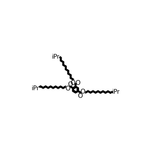 CC(C)CCCCCCCCCCCOC(=O)c1ccc(C(=O)OCCCCCCCCCCCC(C)C)c(C(=O)OCCCCCCCCCCCC(C)C)c1